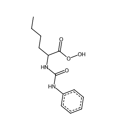 CCCCC(NC(=O)Nc1ccccc1)C(=O)OO